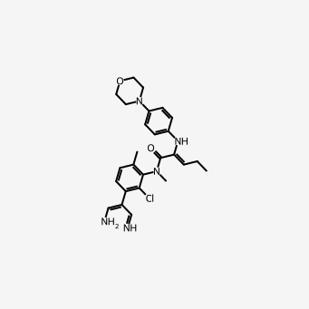 CC/C=C(\Nc1ccc(N2CCOCC2)cc1)C(=O)N(C)c1c(C)ccc(/C(C=N)=C/N)c1Cl